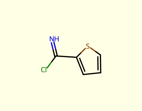 N=C(Cl)c1cccs1